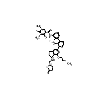 COCCOc1nc(-c2cccc(-c3cccc(NC(=O)c4cn(C)c(=O)n(C)c4=O)c3C)c2Cl)cc2c1[C@H](NC[C@@H]1CCC(=O)N1)CC2